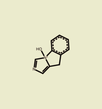 O[N+]12C=NC=C1Cc1ccccc12